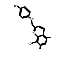 Oc1c(I)cc(I)c2ccc(CNc3ccc(Br)cc3)nc12